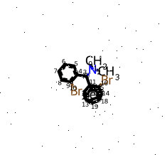 CN(C)[C@H](c1ccccc1Br)[C]12[CH]3[CH]4[CH]5[C]1(Br)[Fe]45321678[CH]2[CH]1[CH]6[CH]7[CH]28